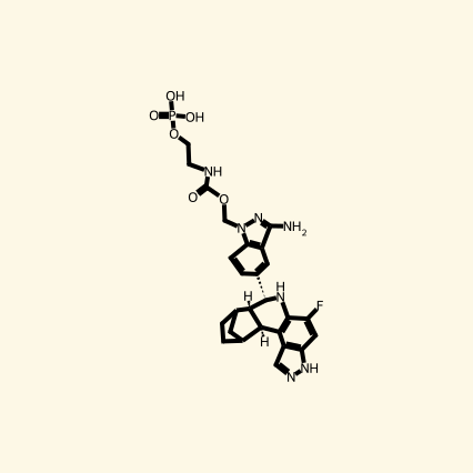 Nc1nn(COC(=O)NCCOP(=O)(O)O)c2ccc([C@@H]3Nc4c(F)cc5[nH]ncc5c4[C@H]4C5CCC(C5)[C@@H]34)cc12